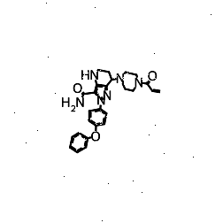 C=CC(=O)N1CCN(C2CCNc3c2nn(-c2ccc(Oc4ccccc4)cc2)c3C(N)=O)CC1